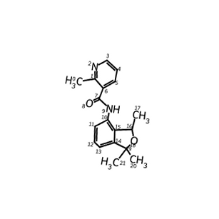 Cc1ncccc1C(=O)Nc1cccc2c1C(C)OC2(C)C